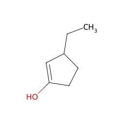 CCC1C=C(O)CC1